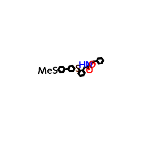 CSc1ccc(-c2ccc(Sc3ccccc3CC(=O)NOCc3ccccc3)cc2)cc1